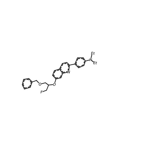 CCN(CC)c1ccc(-c2ccc3ccc(OC(CF)COCc4ccccc4)cc3n2)cc1